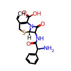 C=CC1=C(C(=O)O)N2C(=O)C(NC(=O)C(N)c3ccccc3)[C@@H]2SC1